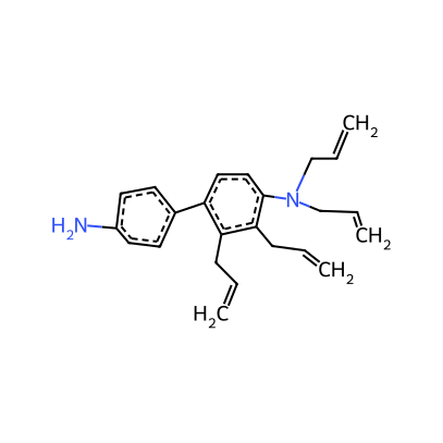 C=CCc1c(-c2ccc(N)cc2)ccc(N(CC=C)CC=C)c1CC=C